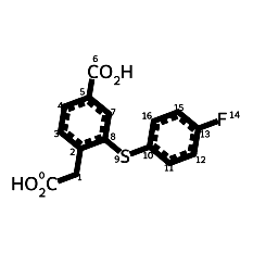 O=C(O)Cc1ccc(C(=O)O)cc1Sc1ccc(F)cc1